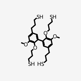 COc1cc(CCCS)cc(-c2cc(CCCS)cc(OC)c2OCCCS)c1OCCCS